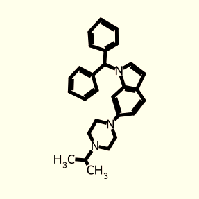 CC(C)N1CCN(c2ccc3ccn(C(c4ccccc4)c4ccccc4)c3c2)CC1